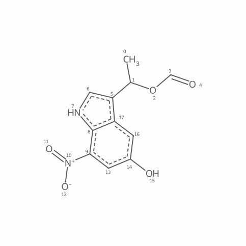 CC(OC=O)c1c[nH]c2c([N+](=O)[O-])cc(O)cc12